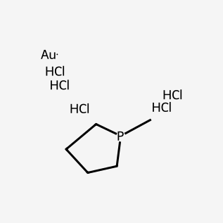 CP1CCCC1.Cl.Cl.Cl.Cl.Cl.[Au]